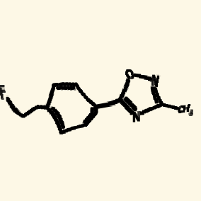 Cc1noc(-c2ccc(CF)cc2)n1